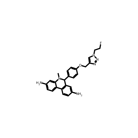 CN1c2cc(N)ccc2-c2ccc(N)cc2C1c1ccc(OCc2cn(CCF)nn2)cc1